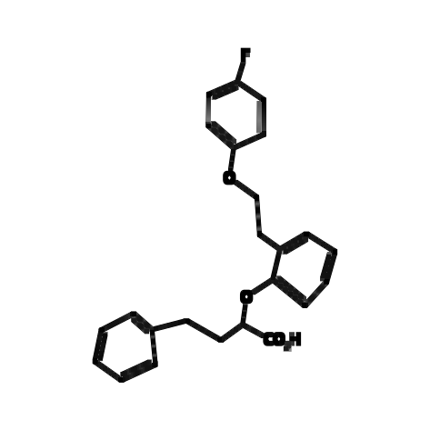 O=C(O)C(CCc1ccccc1)Oc1ccccc1CCOc1ccc(F)cc1